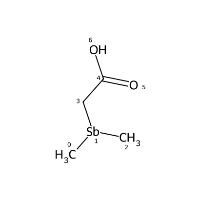 [CH3][Sb]([CH3])[CH2]C(=O)O